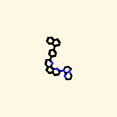 c1ccc2c(-c3ccc(-c4ccc5ccc6ccc(N7CCCN8CCCN=C87)nc6c5n4)cc3)cccc2c1